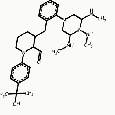 CNC1CN(c2ccccc2CC2CCCN(c3ccc(C(C)(C)O)cc3)C2C=O)CC(NC)N1NC